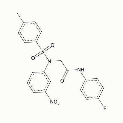 Cc1ccc(S(=O)(=O)N(CC(=O)Nc2ccc(F)cc2)c2cccc([N+](=O)[O-])c2)cc1